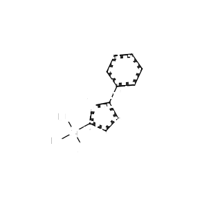 CC[Si](CC)(CC)c1ccc(-c2ccccc2)s1